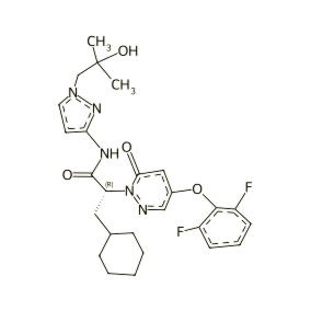 CC(C)(O)Cn1ccc(NC(=O)[C@@H](CC2CCCCC2)n2ncc(Oc3c(F)cccc3F)cc2=O)n1